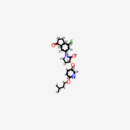 CC(C)CCOc1ccc(O[C@@H]2CCN(c3cc(F)c4c(c3)C(=O)CC4)C2=O)cn1